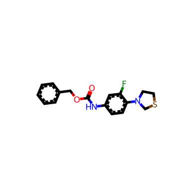 O=C(Nc1ccc(N2CCSC2)c(F)c1)OCc1ccccc1